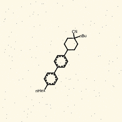 CCCCCCc1ccc(-c2ccc(C3CCC(C#N)(CCCC)CC3)cc2)cc1